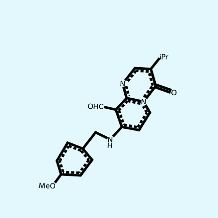 COc1ccc(CNc2ccn3c(=O)c(C(C)C)cnc3c2C=O)cc1